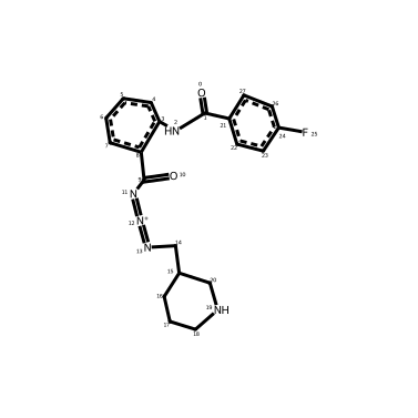 O=C(Nc1ccccc1C(=O)N=[N+]=NCC1CCCNC1)c1ccc(F)cc1